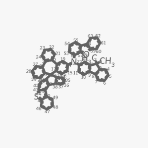 CC1(C)c2ccccc2-c2ccc(N(c3ccc4c(c3)-c3ccccc3-c3ccccc3C43c4ccccc4-c4c3ccc3sc5ccccc5c43)c3cccc4c3oc3ccccc34)cc21